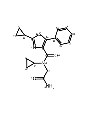 NC(=O)CN(C(=O)c1nc(C2CC2)sc1-c1ccccc1)C1CC1